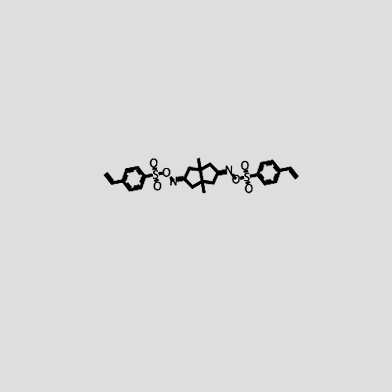 C=Cc1ccc(S(=O)(=O)ON=C2CC3(C)CC(=NOS(=O)(=O)c4ccc(C=C)cc4)CC3(C)C2)cc1